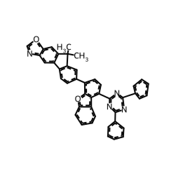 CC1(C)c2cc(-c3ccc(-c4nc(-c5ccccc5)nc(-c5ccccc5)n4)c4c3oc3ccccc34)ccc2-c2cc3ncoc3cc21